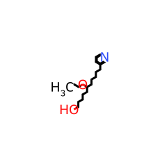 CCCOC(CCCCCO)CCCCCc1cccnc1